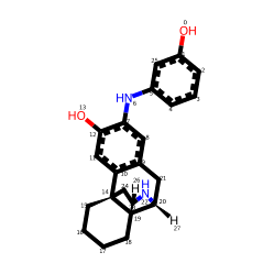 Oc1cccc(Nc2cc3c(cc2O)[C@@]24CCCC[C@H]2[C@@H](C3)NCC4)c1